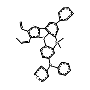 C=Cc1sc2c(c1/C=C\C)B1c3ccc(N(c4ccccc4)c4ccccc4)cc3[Si](C)(C)c3cc(-c4ccccc4)cc-2c31